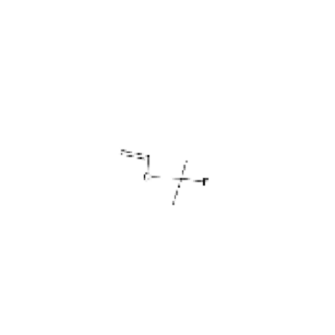 C=COC(C)(C)F